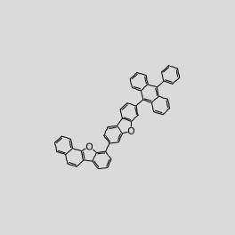 c1ccc(-c2c3ccccc3c(-c3ccc4c(c3)oc3cc(-c5cccc6c5oc5c7ccccc7ccc65)ccc34)c3ccccc23)cc1